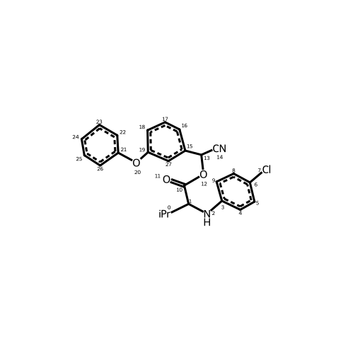 CC(C)C(Nc1ccc(Cl)cc1)C(=O)OC(C#N)c1cccc(Oc2ccccc2)c1